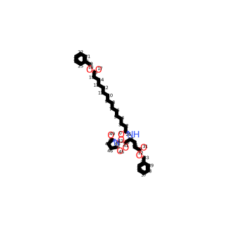 O=C(CCCCCCCCCCCCCCC(=O)OCc1ccccc1)NC(CCC(=O)OCc1ccccc1)C(=O)ON1C(=O)CCC1=O